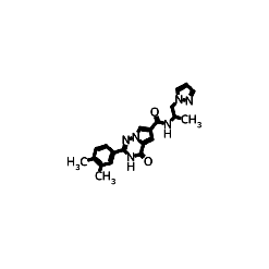 Cc1ccc(-c2nn3cc(C(=O)NC(C)Cn4cccn4)cc3c(=O)[nH]2)cc1C